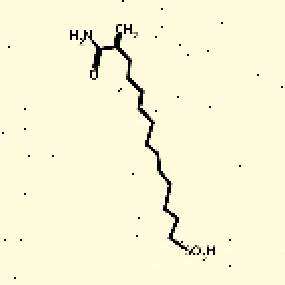 C=C(CCCCCCCCCCCCS(=O)(=O)O)C(N)=O